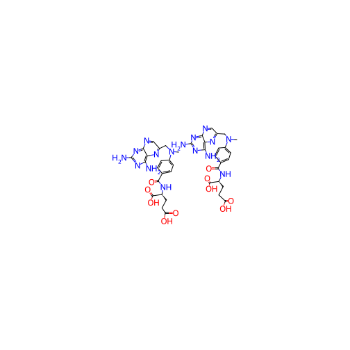 CN(Cc1cnc2nc(N)nc(N)c2n1)c1ccc(C(=O)N[C@@H](CCC(=O)O)C(=O)O)cc1.CN(Cc1cnc2nc(N)nc(N)c2n1)c1ccc(C(=O)N[C@@H](CCC(=O)O)C(=O)O)cc1